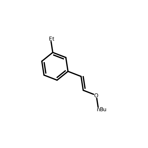 CCCCOC=Cc1cccc(CC)c1